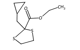 CCOC(=O)C1(CC2CC2)SCCS1